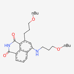 CCCCOCCCNc1cc(CCCOCCCC)c2c3c(cccc13)C(=O)NC2=O